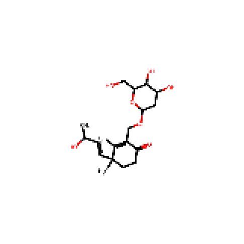 CC1=C(COC2CC(O)C(O)C(CO)O2)C(=O)CCC1(C)C=CC(C)O